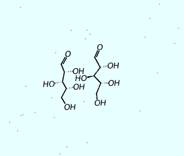 O=C[C@H](O)[C@@H](O)[C@H](O)CO.O=C[C@H](O)[C@H](O)[C@H](O)CO